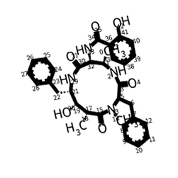 C[C@H]1NC(=O)C(Cc2ccccc2)N(C)C(=O)[C@H](C)[C@H](O)[C@H](Cc2ccccc2)NC(=O)[C@H]1NC(=O)c1ccccc1O